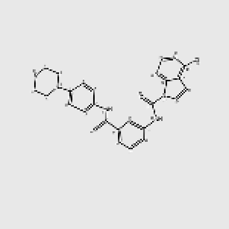 O=C(Nc1ccc(N2CCOCC2)cc1)c1cccc(NC(=O)n2ccc3c(Cl)ncnc32)c1